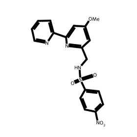 COc1cc(CNS(=O)(=O)c2ccc([N+](=O)[O-])cc2)nc(-c2ccccn2)c1